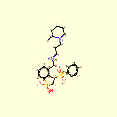 CC1CCCCN1CCCNCc1cccc2c1C(S(=O)(=O)c1ccccc1)CS2(O)O